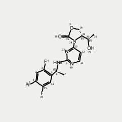 CC(C)c1cc(F)c([C@H](C)Nc2nccc(N3C(=O)OC[C@@H]3[C@@H](C)O)n2)cc1F